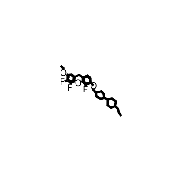 CCCC1CCC(C2CCC(COc3ccc4c(c3F)Oc3c(cc(OCC)c(F)c3F)C4)CC2)CC1